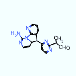 CC(C=O)c1nccc(C2c3cccnc3N3C(N)=NC=CC23)n1